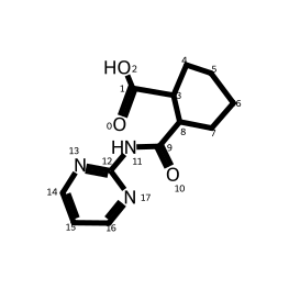 O=C(O)C1CCCCC1C(=O)Nc1ncccn1